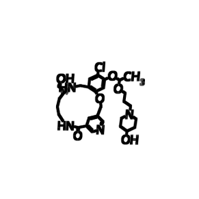 CC(OCCCN1CCC(O)CC1)Oc1cc2c(cc1Cl)CN[C@H](CO)CCCCNC(=O)c1cncc(c1)CO2